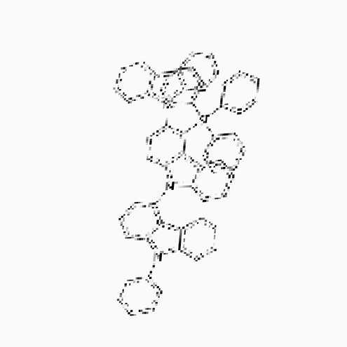 c1ccc(-n2c3ccccc3c3c(-n4c5ccccc5c5c([Si](c6ccccc6)(c6ccccc6)c6ccccc6)c(-n6c7ccccc7c7ccccc76)ccc54)cccc32)cc1